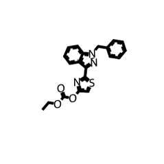 CCOC(=O)Oc1csc(-c2nn(Cc3ccccc3)c3ccccc23)n1